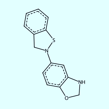 c1ccc2c(c1)CN(c1ccc3c(c1)NCO3)S2